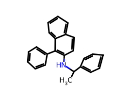 CC(Nc1ccc2ccccc2c1-c1ccccc1)c1ccccc1